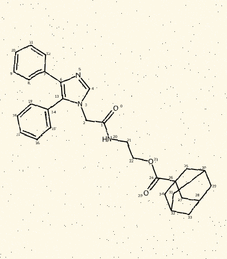 O=C(Cn1cnc(-c2ccccc2)c1-c1ccccc1)NCCOC(=O)C12CC3CC(CC(C3)C1)C2